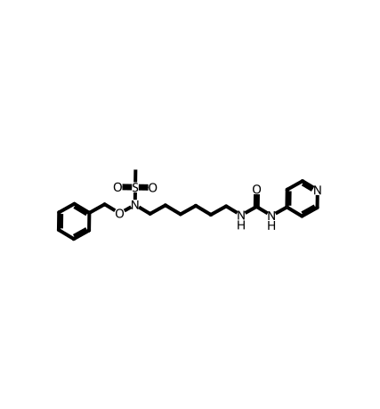 CS(=O)(=O)N(CCCCCCNC(=O)Nc1ccncc1)OCc1ccccc1